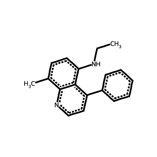 CCNc1ccc(C)c2nccc(-c3ccccc3)c12